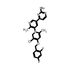 CC1=CC(OCc2ccc(F)cc2F)=C(Cl)CN1c1cc(-c2ccnc(C(C)(C)C)n2)cnc1C